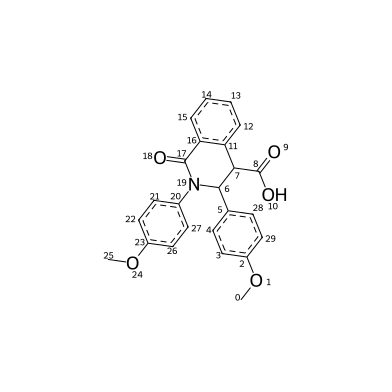 COc1ccc(C2C(C(=O)O)c3ccccc3C(=O)N2c2ccc(OC)cc2)cc1